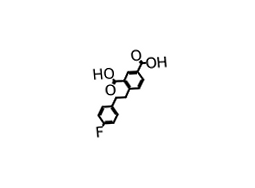 O=C(O)c1ccc(CCc2ccc(F)cc2)c(C(=O)O)c1